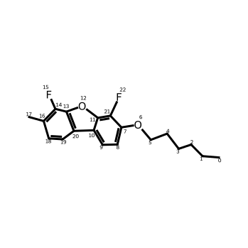 CCCCCCOc1ccc2c(oc3c(F)c(C)ccc32)c1F